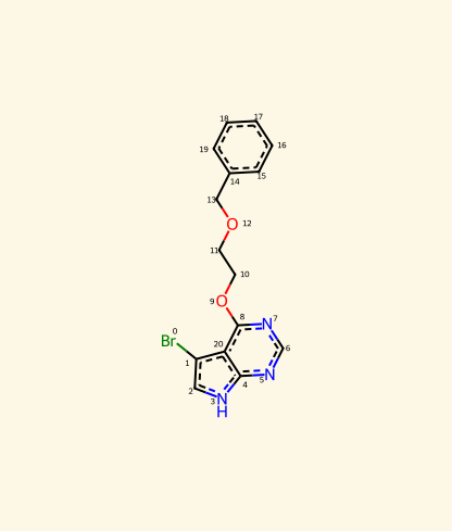 Brc1c[nH]c2ncnc(OCCOCc3ccccc3)c12